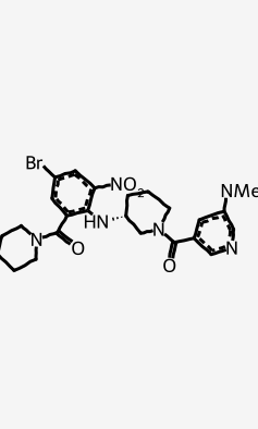 CNc1cncc(C(=O)N2CCC[C@@H](Nc3c(C(=O)N4CCCCC4)cc(Br)cc3[N+](=O)[O-])C2)c1